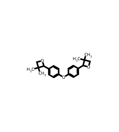 CC1(C)COC1c1ccc(Oc2ccc(C3OCC3(C)C)cc2)cc1